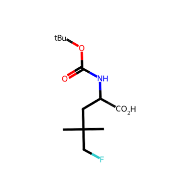 CC(C)(CF)CC(NC(=O)OC(C)(C)C)C(=O)O